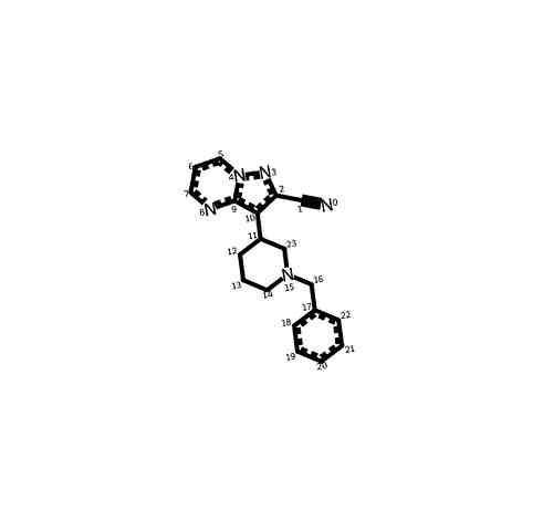 N#Cc1nn2cccnc2c1C1CCCN(Cc2ccccc2)C1